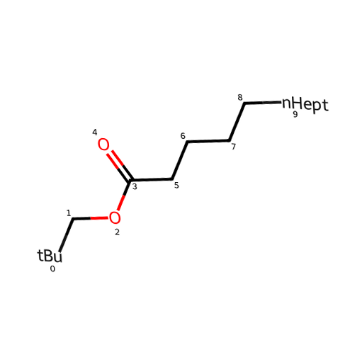 [CH2]C(C)(C)COC(=O)CCCCCCCCCCC